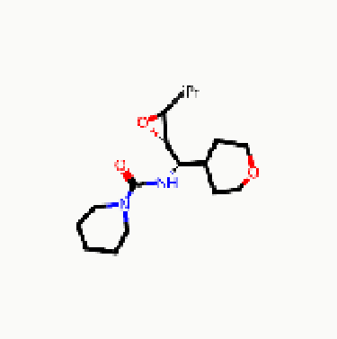 CC(C)C1O[C@H]1[C@@H](NC(=O)N1CCCCC1)C1CCOCC1